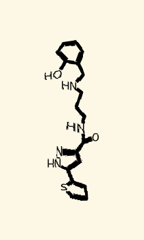 O=C(NCCCNCc1ccccc1O)c1cc(-c2cccs2)[nH]n1